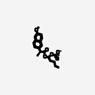 CCCCC(OC(=O)[C@@H](C)c1ccc2cc(OC)ccc2c1)O[N+](=O)[O-]